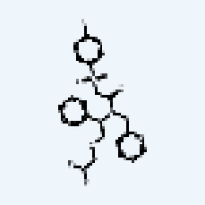 O=C(CS(=O)(=O)c1ccc(F)cc1)N(Cc1ccccn1)C(COCC(F)F)c1ccccc1